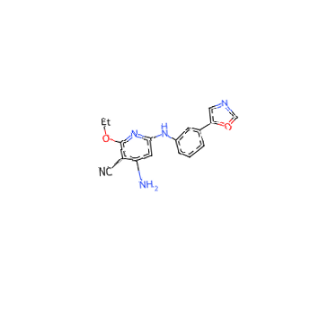 CCOc1nc(Nc2cccc(-c3cnco3)c2)cc(N)c1C#N